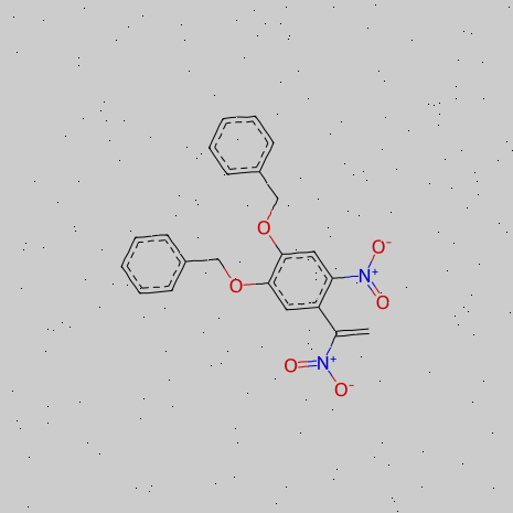 C=C(c1cc(OCc2ccccc2)c(OCc2ccccc2)cc1[N+](=O)[O-])[N+](=O)[O-]